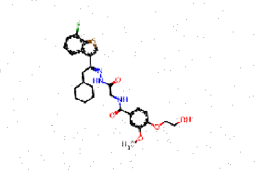 COc1cc(C(=O)NCC(=O)N/N=C(\CC2CCCCC2)c2csc3c(F)cccc23)ccc1OCCO